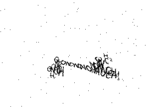 C=CCn1c(=O)c2cnc(Nc3ccc(N4CCN(C5CCN(c6ccc7c(c6)C(=O)N(C6CCC(=O)NC6O)C7=O)CC5)CC4)cc3)nc2n1-c1cccc(C(C)(C)O)n1